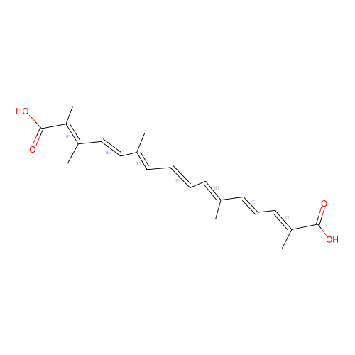 CC(/C=C/C=C(\C)C(=O)O)=C\C=C\C=C(C)\C=C\C(C)=C(/C)C(=O)O